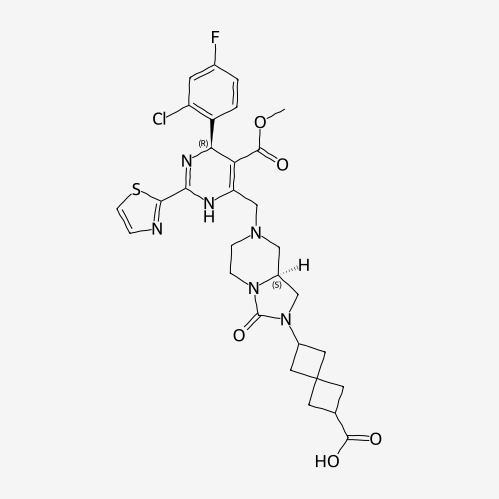 COC(=O)C1=C(CN2CCN3C(=O)N(C4CC5(CC(C(=O)O)C5)C4)C[C@@H]3C2)NC(c2nccs2)=N[C@H]1c1ccc(F)cc1Cl